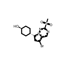 CS(=O)(=O)c1ncc2c(Br)cc([C@H]3CC[C@H](O)CC3)n2n1